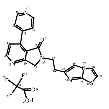 O=C(O)C(F)(F)F.O=C1c2c(-c3ccncc3)ccnc2CN1CCc1cn2ccsc2n1